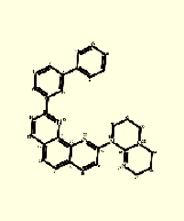 c1ccc(-c2cccc(-c3ccc4ccc5ccc(N6CCCN7CCCN=C76)nc5c4n3)c2)cc1